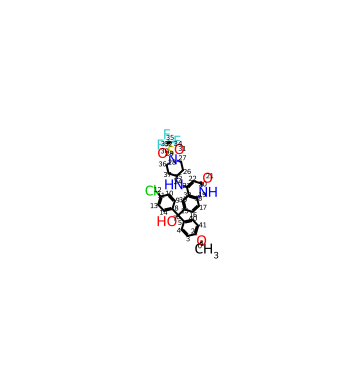 COc1ccc(C(O)(c2ccc(Cl)cc2)c2ccc3[nH]c(=O)cc(NC4CCN(S(=O)(=O)C(F)(F)F)CC4)c3c2)cc1